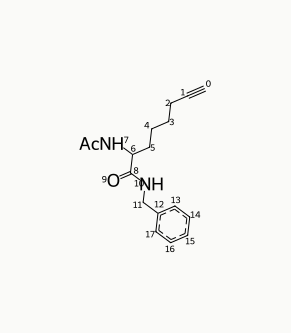 C#CCCCCC(NC(C)=O)C(=O)NCc1ccccc1